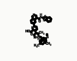 C/C(NCC12CC3(C)CC(C)(C1)CC(N=O)(C3)C2)=C(/C=N)c1ccc(-c2ccc3cncc(C(=O)Nc4nc5ccccc5s4)c3c2)nc1C(=O)O